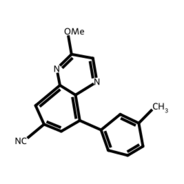 COc1cnc2c(-c3cccc(C)c3)cc(C#N)cc2n1